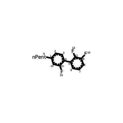 CCCCCc1ccc(-c2cccc(F)c2F)c(F)c1